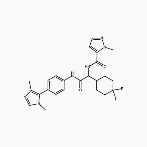 Cc1ncn(C)c1-c1ccc(NC(=O)C(NC(=O)c2ccnn2C)C2CCC(F)(F)CC2)cc1